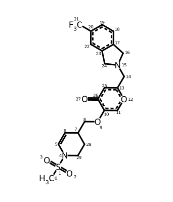 CS(=O)(=O)N1C=CC(COc2coc(CN3Cc4ccc(C(F)(F)F)cc4C3)cc2=O)CC1